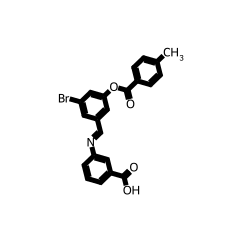 Cc1ccc(C(=O)Oc2cc(Br)cc(C=Nc3cccc(C(=O)O)c3)c2)cc1